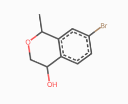 CC1OCC(O)c2ccc(Br)cc21